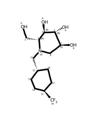 OC[C@@H]1[C@@H](O)[C@H](O)[C@@H](O)CN1C[C@H]1CC[C@H](C(F)(F)F)CC1